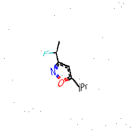 CC(C)c1cc(C(C)F)no1